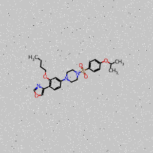 CCCCOc1cc(N2CCN(S(=O)(=O)c3ccc(OC(C)C)cc3)CC2)ccc1-c1cocn1